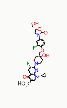 O=C(O)c1cn(C2CC2)c2nc(N3CCC(O)(COc4ccc(N5C[C@H](CO)OC5=O)cc4F)CC3)c(F)cc2c1=O